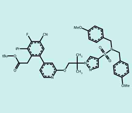 COc1ccc(CN(Cc2ccc(OC)cc2)S(=O)(=O)c2cnn(C(C)(C)COc3cc(-c4cc(C#N)c(F)c(C(C)C)c4CC(=O)OC(C)(C)C)ccn3)c2)cc1